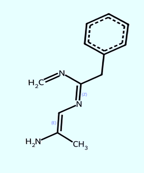 C=N/C(Cc1ccccc1)=N\C=C(/C)N